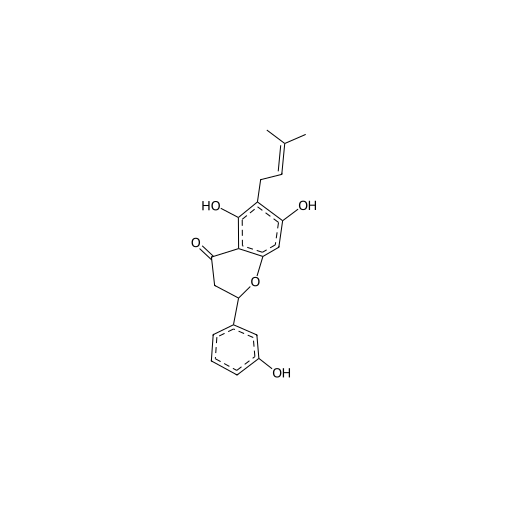 CC(C)=CCc1c(O)cc2c(c1O)C(=O)CC(c1cccc(O)c1)O2